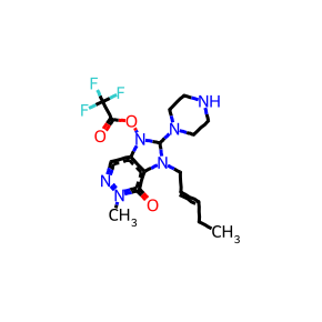 CCC=CCN1c2c(cnn(C)c2=O)N(OC(=O)C(F)(F)F)C1N1CCNCC1